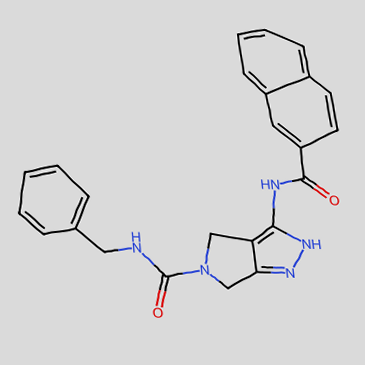 O=C(Nc1[nH]nc2c1CN(C(=O)NCc1ccccc1)C2)c1ccc2ccccc2c1